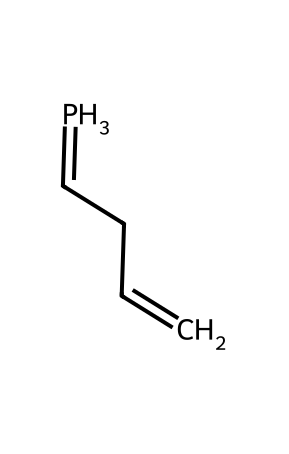 C=CCC=[PH3]